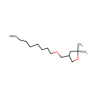 CCCCCCCCCCCCCCCCOCC1COC(C)(C)C1